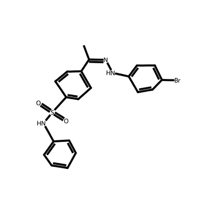 CC(=NNc1ccc(Br)cc1)c1ccc(S(=O)(=O)Nc2ccccc2)cc1